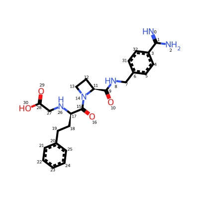 N=C(N)c1ccc(CNC(=O)[C@@H]2CCN2C(=O)[C@@H](CCc2ccccc2)NCC(=O)O)cc1